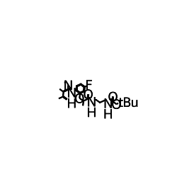 C=N/C(Nc1ccc(F)cc1OC(C)C(=O)NCCCNC(=O)OC(C)(C)C)=C(\C)C(=C)C